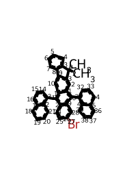 CC1(C)c2ccccc2-c2cc3c(-c4cccc5ccccc45)c4ccc(Br)cc4c(-c4cccc5ccccc45)c3cc21